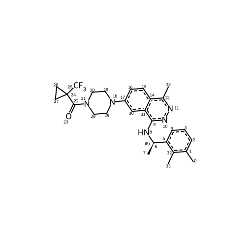 Cc1cccc([C@@H](C)Nc2nnc(C)c3ccc(N4CCN(C(=O)C5(C(F)(F)F)CC5)CC4)cc23)c1C